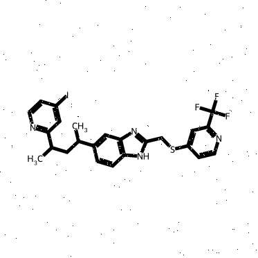 CC(CC(C)c1cc(I)ccn1)c1ccc2[nH]c(CSc3ccnc(C(F)(F)F)c3)nc2c1